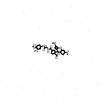 CNc1ccc(NC(=O)CNC(=O)c2ccc3c(c2)C2(OC3=O)c3ccc(N(C)C)cc3Oc3cc(N(C)C)ccc32)cc1S